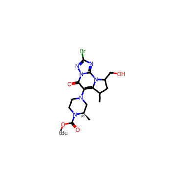 CC1CC(CO)n2c1c(N1CCN(C(=O)OC(C)(C)C)[C@H](C)C1)c(=O)n1nc(Br)nc21